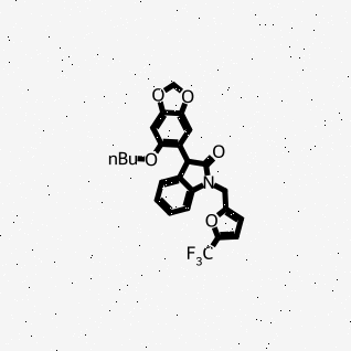 CCCCOc1cc2c(cc1C1C(=O)N(Cc3ccc(C(F)(F)F)o3)c3ccccc31)OCO2